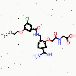 COCCOc1cc(Cl)cc(C(=O)NCc2ccc(C(=N)N)cc2OCC(=O)NCC(=O)O)c1